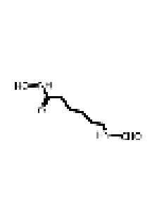 O=CNCCCCCC(=O)NO